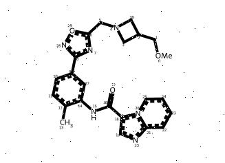 COCC1CN(Cc2nc(-c3ccc(C)c(NC(=O)c4cnc5ccccn45)c3)no2)C1